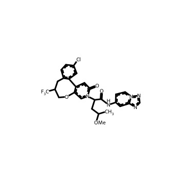 COC(C)CC(C(=O)Nc1ccn2ncnc2c1)n1cc2c(cc1=O)-c1cc(Cl)ccc1CC(C(F)(F)F)CO2